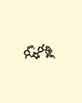 CC(O)(CS(N)(=O)=O)c1cc(-c2nnn(Cc3cc(OC(F)(F)F)ccc3F)n2)ccc1F